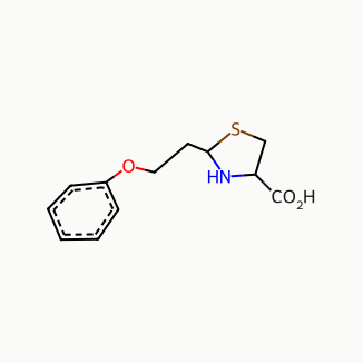 O=C(O)C1CSC(CCOc2ccccc2)N1